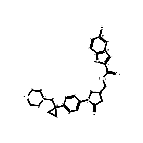 O=C(NCC1CC(=O)N(c2ccc(C3(CN4CCOCC4)CC3)cc2)C1)c1cc2cc(Cl)ccc2[nH]1